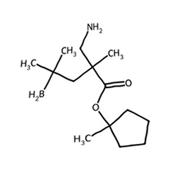 BC(C)(C)CC(C)(CN)C(=O)OC1(C)CCCC1